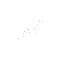 CCO[Si](OCC)(OCC)OOO[Si](OCC)(OCC)OCC